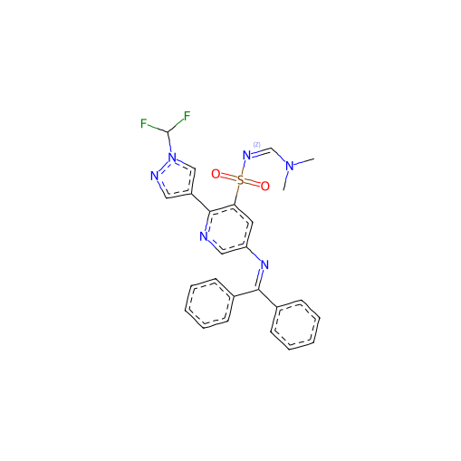 CN(C)/C=N\S(=O)(=O)c1cc(N=C(c2ccccc2)c2ccccc2)cnc1-c1cnn(C(F)F)c1